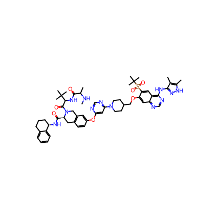 CNC(C)C(=O)NC(C(=O)N1Cc2cc(Oc3cc(N4CCC(COc5cc6ncnc(Nc7n[nH]c(C)c7C)c6cc5S(=O)(=O)C(C)(C)C)CC4)ncn3)ccc2C[C@H]1C(=O)N[C@@H]1CCCc2ccccc21)C(C)(C)C